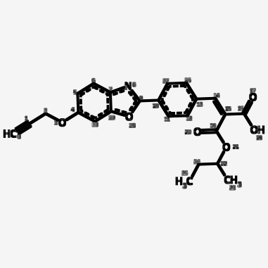 C#CCOc1ccc2nc(-c3ccc(C=C(C(=O)O)C(=O)OC(C)CC)cc3)oc2c1